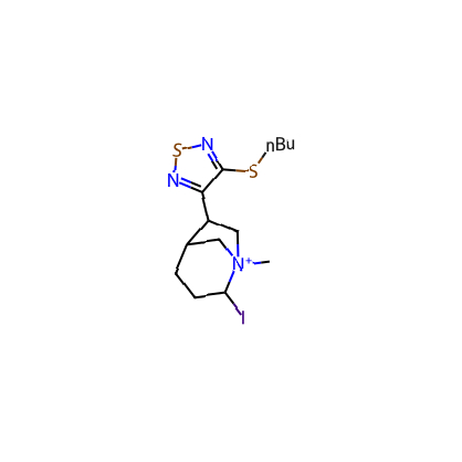 CCCCSc1nsnc1C1C[N+]2(C)CC1CCC2I